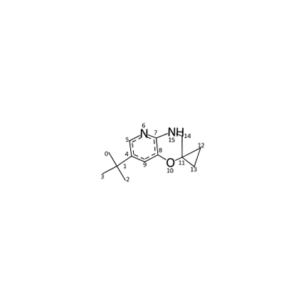 CC(C)(C)c1cnc2c(c1)OC1(CC1)CN2